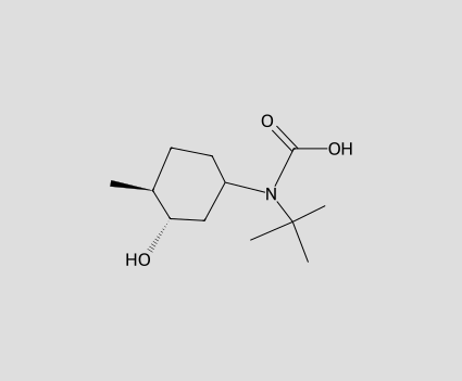 C[C@H]1CCC(N(C(=O)O)C(C)(C)C)C[C@@H]1O